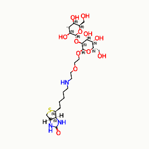 O=C1N[C@H]2[C@H](CS[C@H]2CCCCCNCCOCCO[C@@H]2O[C@@H](CO)[C@@H](O)[C@@H](O)[C@@H]2O[C@H]2O[C@H](CO)[C@H](O)[CH][C@@H]2O)N1